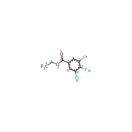 O=C(OCC(F)(F)F)c1cc(F)c(F)c(Cl)c1